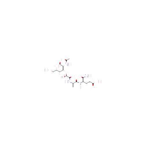 [2H]C(O[C@@H]([C@H](O)[C@H](O)CO)[C@H](C=O)NC(C)=O)C(=O)NC(C)C(=O)NC(CCC(=O)O)C(N)=O